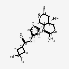 C[C@H]1C[C@H]2CSC(N)=N[C@@]2(c2nc(NC(=O)C3CC(F)(F)C3)cs2)CO1